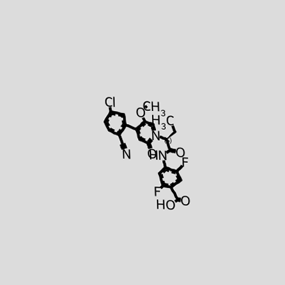 CC[C@@H](C(=O)Nc1cc(F)c(C(=O)O)cc1F)n1cc(OC)c(-c2cc(Cl)ccc2C#N)cc1=O